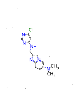 CN(C)c1ccc2nc(CNc3cc(Cl)ncn3)cn2c1